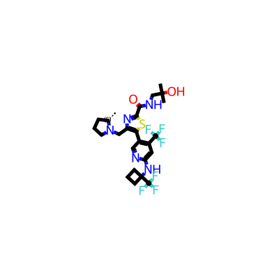 C[C@H]1CCCN1Cc1nc(C(=O)NCC(C)(C)O)sc1-c1cnc(NC2(C(F)(F)F)CCC2)cc1C(F)(F)F